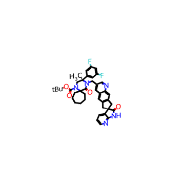 CC(C)(C)OC(=O)N1C[C@@](C)(c2cc(F)cc(F)c2)N(Cc2cnc3cc4c(cc3c2)C[C@@]2(C4)C(=O)Nc3ncccc32)C(=O)C12CCCCCC2